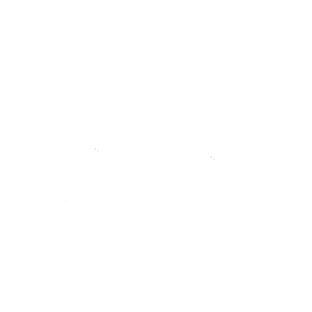 CC1(C)c2ccccc2-c2ccc(N(c3ccc(-c4cccc5c4ccc4nc(-c6ccccc6)oc45)cc3)c3ccc4sc5ccccc5c4c3)cc21